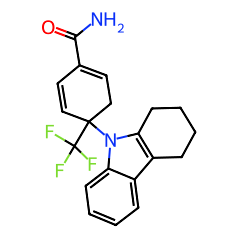 NC(=O)C1=CCC(n2c3c(c4ccccc42)CCCC3)(C(F)(F)F)C=C1